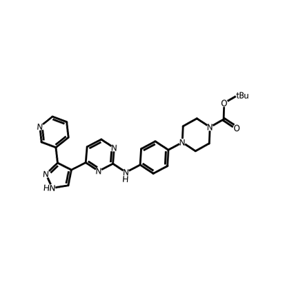 CC(C)(C)OC(=O)N1CCN(c2ccc(Nc3nccc(-c4c[nH]nc4-c4cccnc4)n3)cc2)CC1